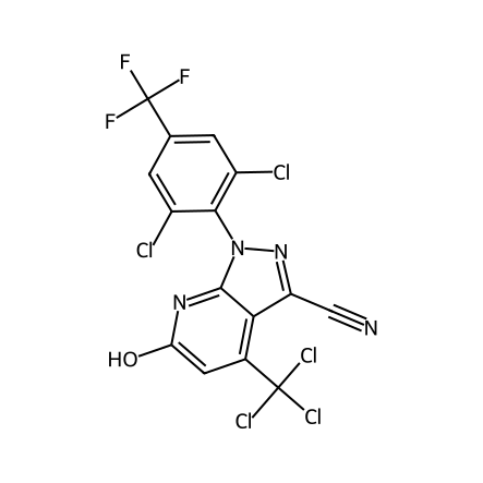 N#Cc1nn(-c2c(Cl)cc(C(F)(F)F)cc2Cl)c2nc(O)cc(C(Cl)(Cl)Cl)c12